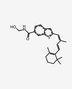 CC(C=CC1=C(C)CCCC1(C)C)=Cc1cc2ccc(C(=O)NCO)cc2s1